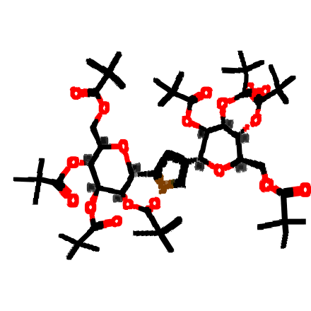 CC(C)(C)C(=O)OC[C@H]1O[C@H](c2csc([C@H]3O[C@H](COC(=O)C(C)(C)C)[C@@H](OC(=O)C(C)(C)C)[C@H](OC(=O)C(C)(C)C)[C@@H]3OC(=O)C(C)(C)C)c2)[C@@H](OC(=O)C(C)(C)C)[C@@H](OC(=O)C(C)(C)C)[C@@H]1OC(=O)C(C)(C)C